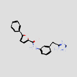 O=C(Nc1cccc(Cc2ncn[nH]2)c1)c1ccc(-c2ccccc2)o1